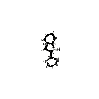 [c]1ccc2[nH]c(-c3ncccn3)cc2c1